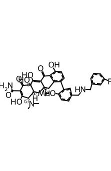 COc1ccc(CNCc2cccc(F)c2)cc1-c1ccc(O)c2c1C[C@@H]1C[C@H]3[C@H](N(C)C)C(O)=C(C(N)=O)C(=O)[C@@]3(O)C(O)=C1C2=O